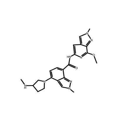 CNC1CCN(c2ccc(C(=O)Nc3cc4cn(C)nc4c(OC)n3)c3nn(C)cc23)C1